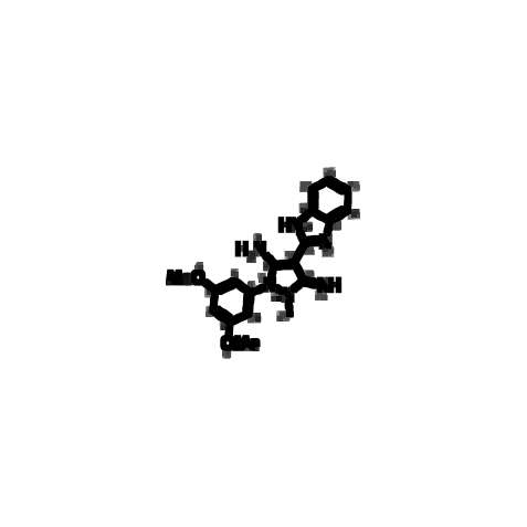 COc1cc(OC)cc(-n2c(N)c(-c3nc4ccccc4[nH]3)c(=N)n2C)c1